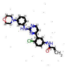 C=CC(=O)Nc1ccc(Cl)c(-c2ccnc(Nc3cccc(N4CCOCC4)c3)n2)c1